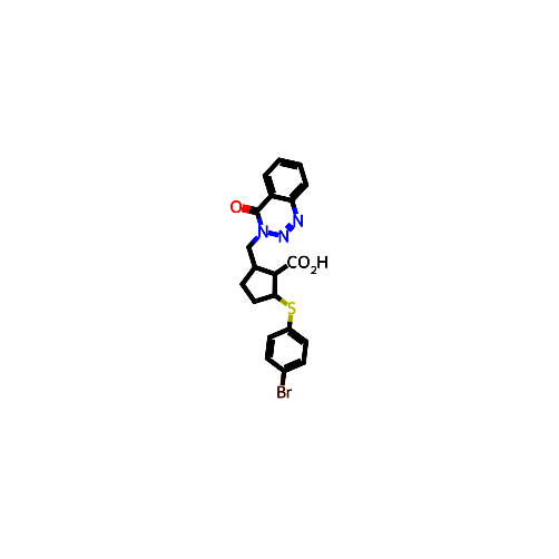 O=C(O)C1C(Cn2nnc3ccccc3c2=O)CCC1Sc1ccc(Br)cc1